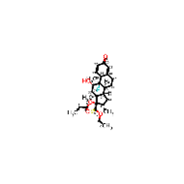 CCOC(=S)[C@@]1(OC(=O)CC)[C@@H](C)C[C@H]2[C@@H]3CCC4=CC(=O)C=C[C@]4(C)[C@@]3(F)[C@@H](O)C[C@@]21C